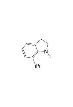 CC(C)c1cccc2c1N(C)CC2